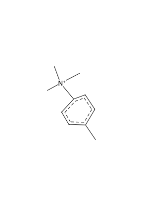 Cc1ccc([N+](C)(C)C)cc1